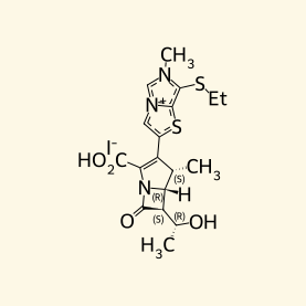 CCSc1c2sc(C3=C(C(=O)O)N4C(=O)[C@H]([C@@H](C)O)[C@H]4[C@H]3C)c[n+]2cn1C.[I-]